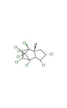 ClC1=C(Cl)[C@]2(Cl)[C@@H]3C[C@H](Cl)C(Cl)C3C1(Cl)C2(Cl)Cl